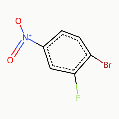 O=[N+]([O-])c1ccc(Br)c(F)c1